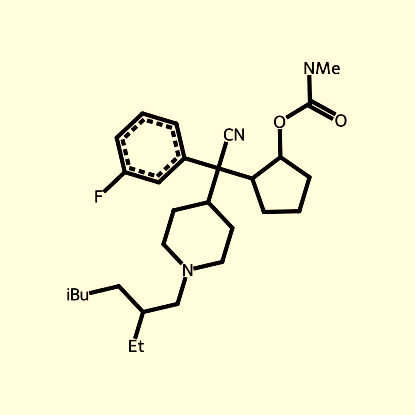 CCC(C)CC(CC)CN1CCC(C(C#N)(c2cccc(F)c2)C2CCCC2OC(=O)NC)CC1